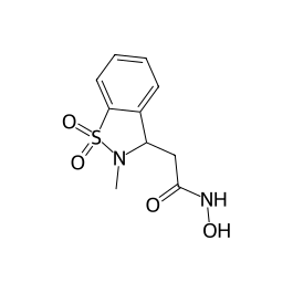 CN1C(CC(=O)NO)c2ccccc2S1(=O)=O